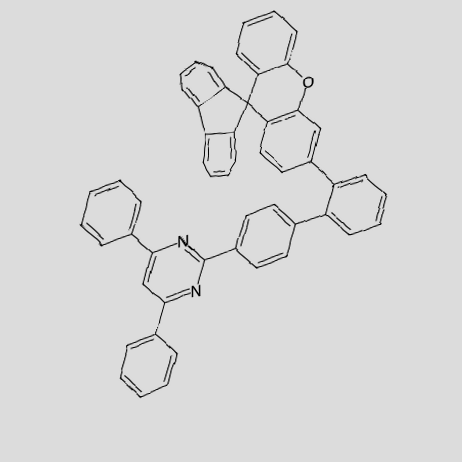 c1ccc(-c2cc(-c3ccccc3)nc(-c3ccc(-c4ccccc4-c4ccc5c(c4)Oc4ccccc4C54c5ccccc5-c5ccccc54)cc3)n2)cc1